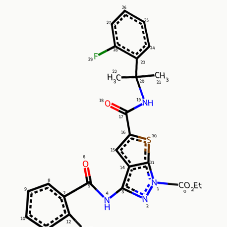 CCOC(=O)n1nc(NC(=O)c2ccccc2[N+](=O)[O-])c2cc(C(=O)NC(C)(C)c3ccccc3F)sc21